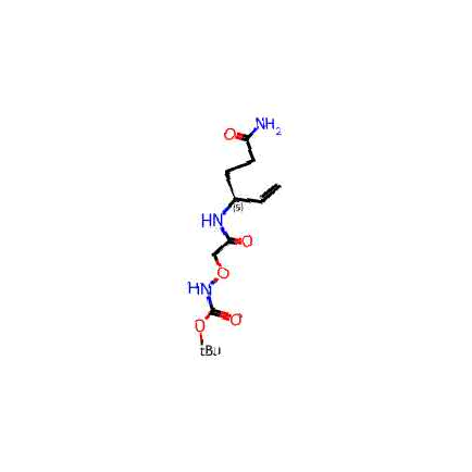 C=C[C@H](CCC(N)=O)NC(=O)CONC(=O)OC(C)(C)C